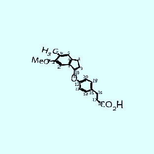 COc1cc2c(cc1C)CCC2Oc1ccc(CCC(=O)O)cc1